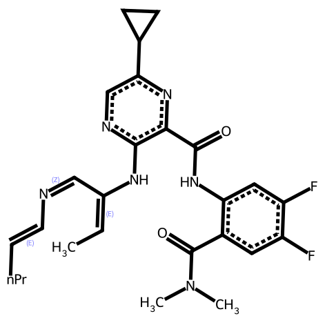 C\C=C(/C=N\C=C\CCC)Nc1ncc(C2CC2)nc1C(=O)Nc1cc(F)c(F)cc1C(=O)N(C)C